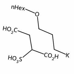 CCCCCCOCC[CH2][K].O=C(O)CC(C(=O)O)S(=O)(=O)O